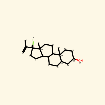 C=C(C)C1(F)CCC2C3CCC4CC(O)CCC4(C)C3CCC21C